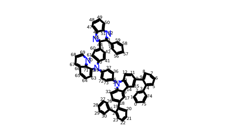 c1ccc(-c2ccccc2-c2ccc3c(c2)c2cc(-c4ccccc4-c4ccccc4)ccc2n3-c2ccc(N(c3ccc(-c4nc5ccccc5nc4-c4ccccc4)cc3)c3cccc4cccnc34)cc2)cc1